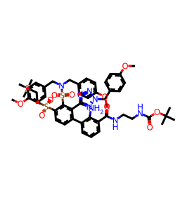 COc1ccc(CN(Cc2ccc(OC)cc2)S(=O)(=O)c2c(S(=O)(=O)CC[Si](C)(C)C)ccc(-c3cccc(C(=O)NCCNC(=O)OC(C)(C)C)c3N)c2-c2nnn(Cc3ccc(OC)cc3)n2)cc1